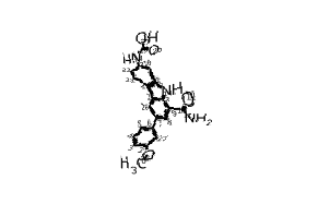 COc1cccc(-c2cc(C(N)=O)c3[nH]c4cc(NC(=O)O)ccc4c3c2)c1